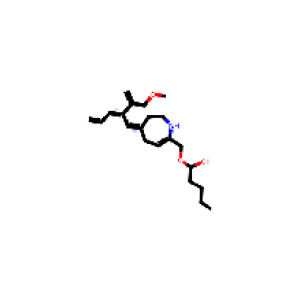 C=C/C=C(\C=C1\CC=C(COC(O)CCCC)NCC1)C(=C)COC